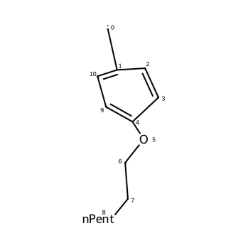 [CH2]c1ccc(OCCCCCCC)cc1